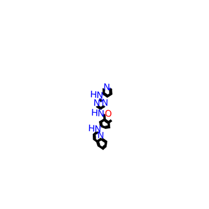 Cc1ccc(Nc2ccc3ccccc3n2)cc1C(=O)Nc1cnc(Nc2cccnc2)nc1